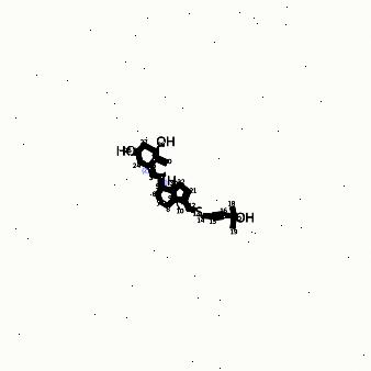 C=C1/C(=C\C=C2/CCC[C@]3(C)C(CSCC#CC(C)(C)O)=CC[C@@H]23)C[C@@H](O)C[C@@H]1O